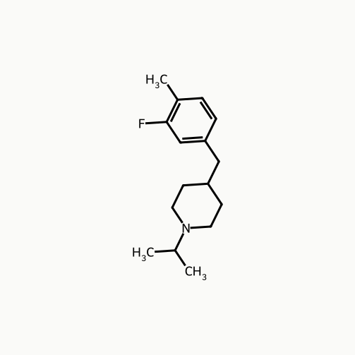 Cc1ccc(CC2CCN(C(C)C)CC2)cc1F